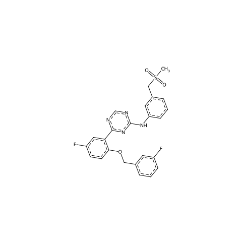 CS(=O)(=O)Cc1cccc(Nc2ncnc(-c3cc(F)ccc3OCc3cccc(F)c3)n2)c1